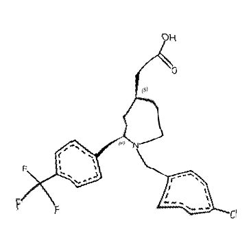 O=C(O)C[C@H]1CCN(Cc2ccc(Cl)cc2)[C@@H](c2ccc(C(F)(F)F)cc2)C1